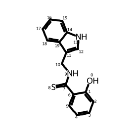 Oc1ccccc1C(=S)NCc1c[nH]c2ccccc12